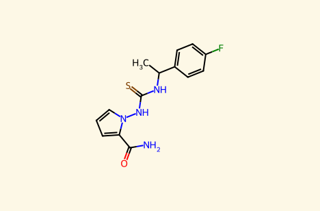 CC(NC(=S)Nn1cccc1C(N)=O)c1ccc(F)cc1